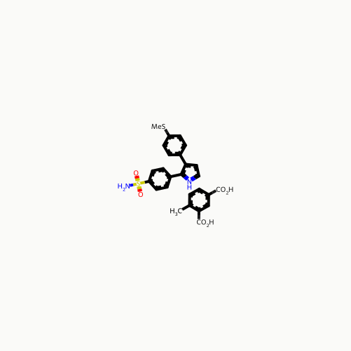 CSc1ccc(-c2cc[nH]c2-c2ccc(S(N)(=O)=O)cc2)cc1.Cc1ccc(C(=O)O)cc1C(=O)O